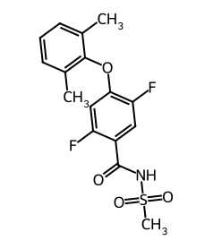 Cc1cccc(C)c1Oc1cc(F)c(C(=O)NS(C)(=O)=O)cc1F